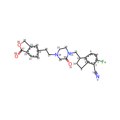 N#Cc1c(F)ccc2c1CCC2CN1CCN(CCc2ccc3c(c2)COC3=O)CC1=O